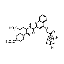 CCOC(=O)N1CCN(C(=O)C(CCC(=O)O)NC(=O)c2cc(OCC(=O)N3[C@H]4CC[C@@]35C[C@H](C4)O5)c3ccccc3n2)CC1